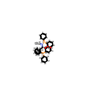 C[C@@H](N(P(c1ccccc1)c1ccccc1)C(C)(C)C)[C@@]12[CH]3[CH]4[CH]5[C]1(P(c1ccccc1)c1ccccc1)[Fe]45321678[CH]2[CH]1[CH]6[CH]7[CH]28